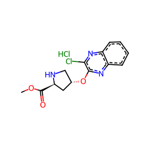 COC(=O)[C@@H]1C[C@@H](Oc2nc3ccccc3nc2Cl)CN1.Cl